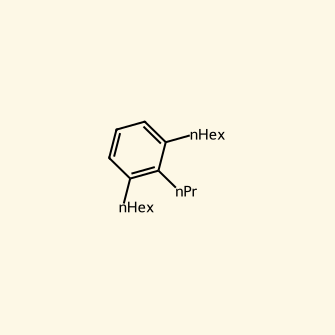 [CH2]CCc1c(CCCCCC)cccc1CCCCCC